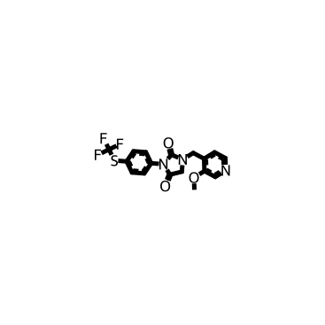 COc1cnccc1CN1CC(=O)N(c2ccc(SC(F)(F)F)cc2)C1=O